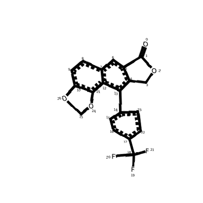 O=C1OCc2c1cc1ccc3c(c1c2-c1ccc(C(F)(F)F)cc1)OCO3